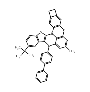 Cc1cc2c3c(c1)N(c1ccc(-c4ccccc4)cc1)c1c(sc4ccc(C(C)(C)C)cc14)B3c1cc3c(cc1O2)CC3